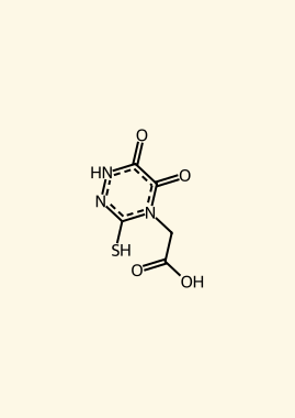 O=C(O)Cn1c(S)n[nH]c(=O)c1=O